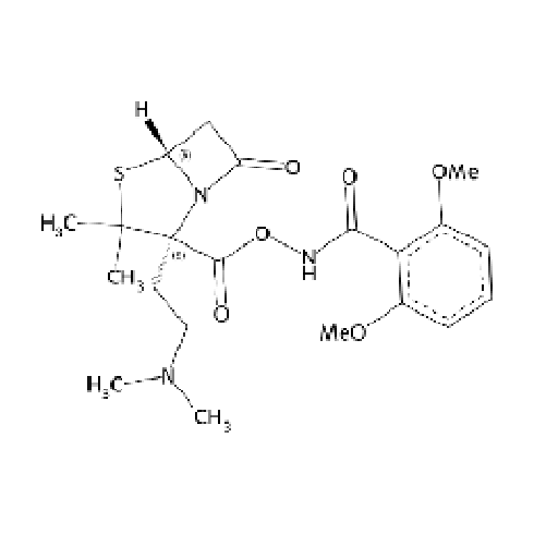 COc1cccc(OC)c1C(=O)NOC(=O)[C@]1(CCN(C)C)N2C(=O)C[C@H]2SC1(C)C